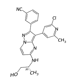 Cc1cc(-c2c(-c3cccc(C#N)c3)nn3ccc(N[C@H](C)CO)nc23)cc(Cl)n1